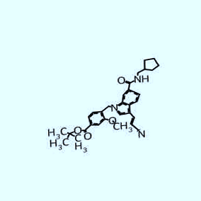 COc1cc(C(=O)OC(C)(C)C)ccc1Cn1cc(C=CC#N)c2ccc(C(=O)NCC3CCCC3)cc21